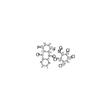 O=C1c2ccccc2C(=O)c2c(F)ccc(F)c21.O=Nc1c(Cl)c(Cl)cc(Cl)c1Cl